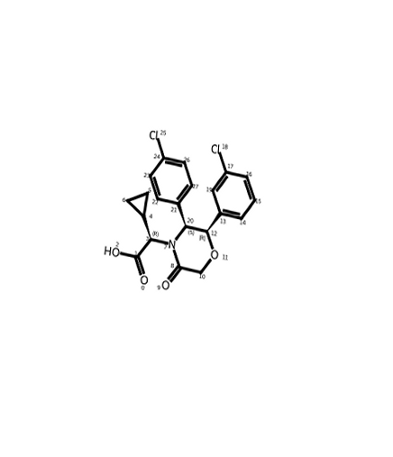 O=C(O)[C@@H](C1CC1)N1C(=O)CO[C@H](c2cccc(Cl)c2)[C@@H]1c1ccc(Cl)cc1